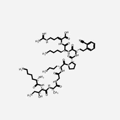 C[C@H](NC(=O)[C@@H](NC(=O)[C@@H](N)CCCCN)[C@@H](O)CN)C(=O)NCC(=O)N[C@H](CCCN)C(=O)N1CCC[C@H]1C(=O)N[C@@H](CCc1ccccc1C#N)C(=O)N[C@@H](CCCCN)C(=O)N/C(=C\CCNC(=N)N)C(=O)O